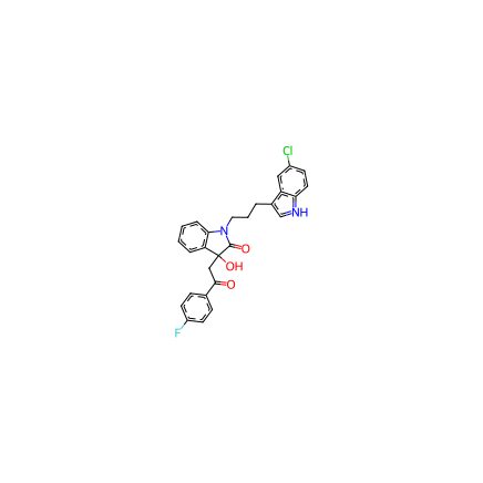 O=C(CC1(O)C(=O)N(CCCc2c[nH]c3ccc(Cl)cc23)c2ccccc21)c1ccc(F)cc1